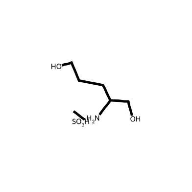 CS(=O)(=O)O.NC(CO)CCCO